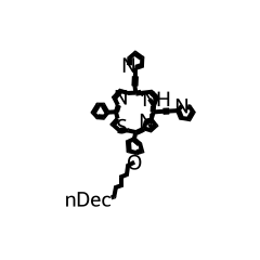 CCCCCCCCCCCCCCCCOc1ccc(-c2c3nc(c(C#Cc4ccccn4)c4ccc([nH]4)c(C#Cc4ccccn4)c4nc(c(-c5ccccc5)c5ccc2s5)C=C4)C=C3)cc1